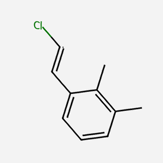 Cc1cccc(C=[C]Cl)c1C